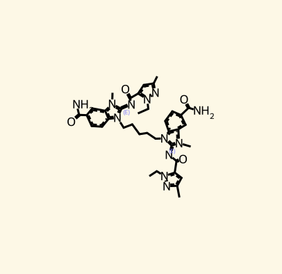 CCn1nc(C)cc1C(=O)/N=c1\n(C)c2cc(C(N)=O)ccc2n1CCCCCn1/c(=N/C(=O)c2cc(C)nn2CC)n(C)c2cc(C(N)=O)ccc21